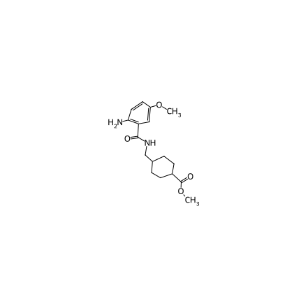 COC(=O)C1CCC(CNC(=O)c2cc(OC)ccc2N)CC1